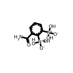 NC(=O)c1cccc([N+]([O-])(O)O)c1[N+]([O-])(O)O